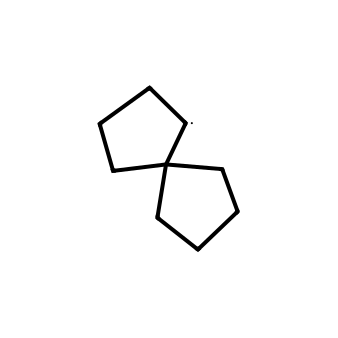 [CH]1CCCC12CCCC2